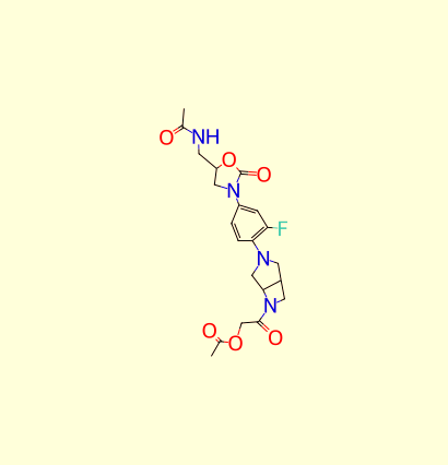 CC(=O)NCC1CN(c2ccc(N3CC4CN(C(=O)COC(C)=O)C4C3)c(F)c2)C(=O)O1